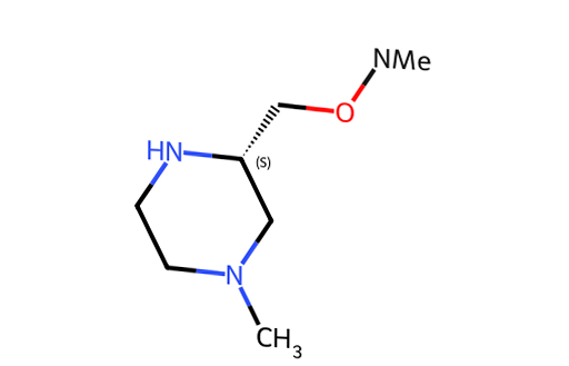 CNOC[C@@H]1CN(C)CCN1